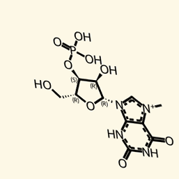 C[n+]1cn([C@@H]2O[C@H](CO)[C@@H](OP(=O)(O)O)[C@H]2O)c2[nH]c(=O)[nH]c(=O)c21